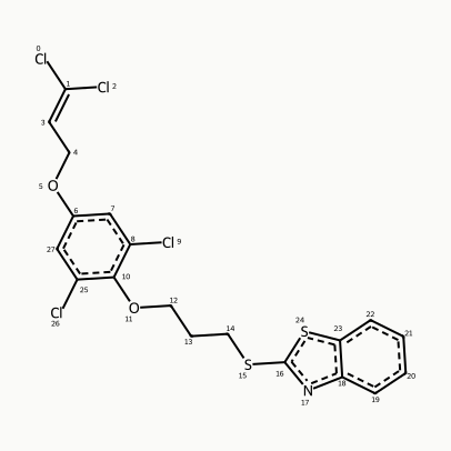 ClC(Cl)=CCOc1cc(Cl)c(OCCCSc2nc3ccccc3s2)c(Cl)c1